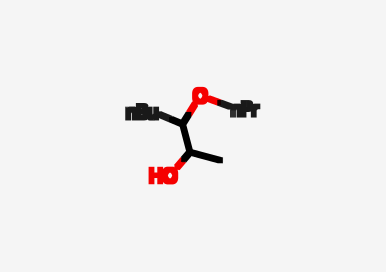 CCCCC(OCCC)C(C)O